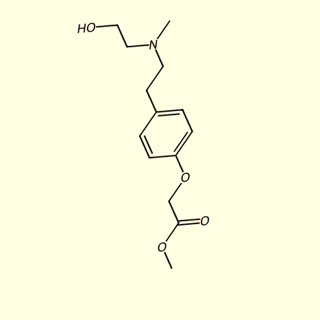 COC(=O)COc1ccc(CCN(C)CCO)cc1